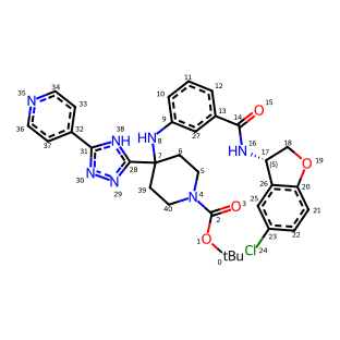 CC(C)(C)OC(=O)N1CCC(Nc2cccc(C(=O)N[C@@H]3COc4ccc(Cl)cc43)c2)(c2nnc(-c3ccncc3)[nH]2)CC1